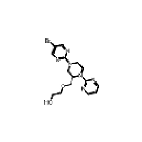 OCCOC[C@H]1CN(c2ncc(Br)cn2)CCN1c1ncccn1